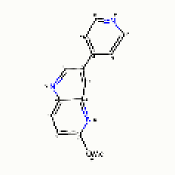 COc1ccc2ncc(-c3ccncc3)cc2n1